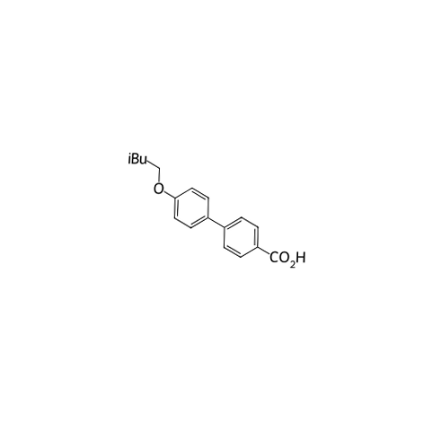 CCC(C)COc1ccc(-c2ccc(C(=O)O)cc2)cc1